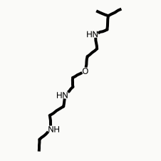 CCNCCNCCOCCNCC(C)C